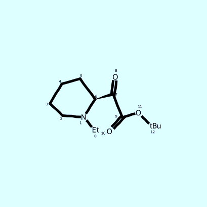 CCN1CCCC[C@H]1C(=O)C(=O)OC(C)(C)C